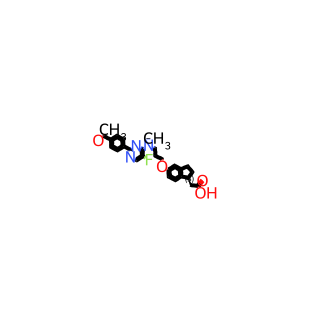 CC(=O)c1ccc(-c2ncc(F)c(N(C)CCCOc3ccc4c(c3)CC[C@H]4CC(=O)O)n2)cc1